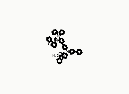 CC1(C)c2ccccc2-c2ccc(N(c3ccc(-c4ccccc4)cc3)c3ccc(-c4ccc(N(c5ccccc5)[PH](=O)c5ccccc5)c(Nc5cccc6oc7ccccc7c56)c4)cc3)cc21